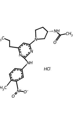 CCCc1cc(N2CC[C@H](NC(C)=O)C2)nc(Nc2ccc(C)c([N+](=O)[O-])c2)n1.Cl